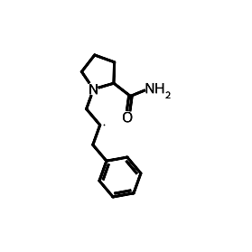 NC(=O)C1CCCN1C[CH]Cc1ccccc1